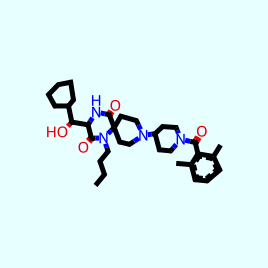 CCCCN1C(=O)C(C(O)C2CCCCC2)NC(=O)C12CCN(C1CCN(C(=O)c3c(C)cccc3C)CC1)CC2